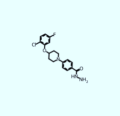 NNC(=O)c1ccc(N2CCC(Oc3cc(F)ccc3Cl)CC2)cc1